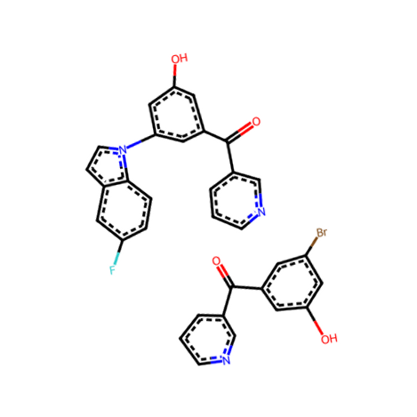 O=C(c1cccnc1)c1cc(O)cc(-n2ccc3cc(F)ccc32)c1.O=C(c1cccnc1)c1cc(O)cc(Br)c1